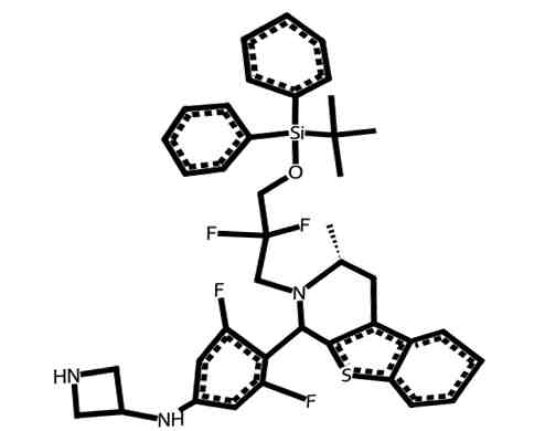 C[C@@H]1Cc2c(sc3ccccc23)C(c2c(F)cc(NC3CNC3)cc2F)N1CC(F)(F)CO[Si](c1ccccc1)(c1ccccc1)C(C)(C)C